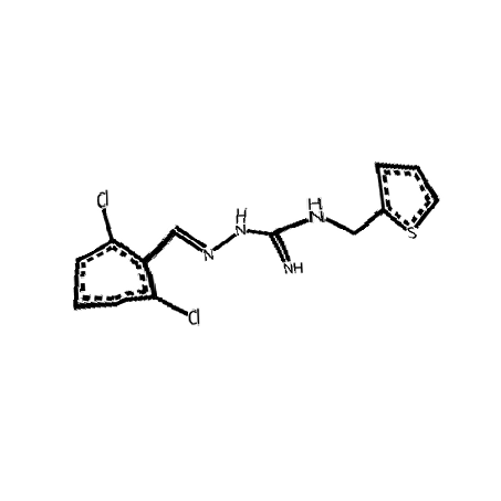 N=C(NCc1cccs1)NN=Cc1c(Cl)cccc1Cl